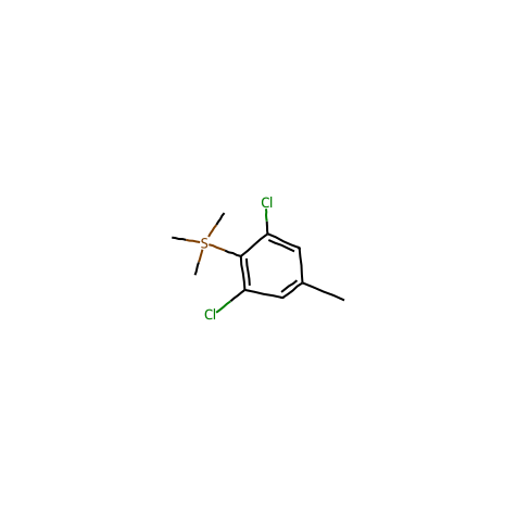 Cc1cc(Cl)c(S(C)(C)C)c(Cl)c1